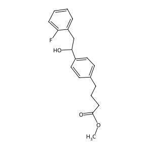 COC(=O)CCCc1ccc(C(O)Cc2ccccc2F)cc1